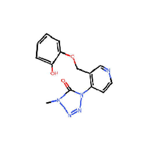 Cn1nnn(-c2ccncc2COc2ccccc2O)c1=O